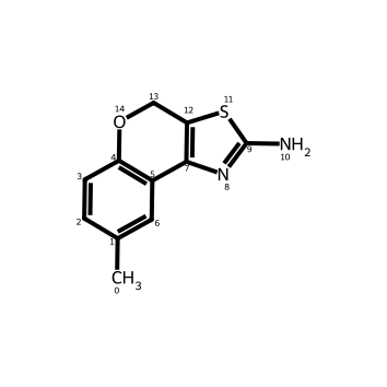 Cc1ccc2c(c1)-c1nc(N)sc1CO2